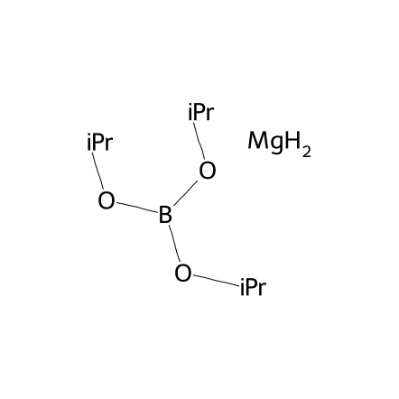 CC(C)OB(OC(C)C)OC(C)C.[MgH2]